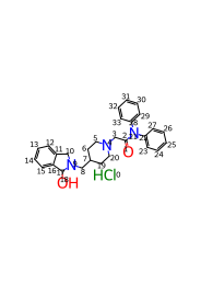 Cl.O=C(CN1CCC(CN2Cc3ccccc3C2O)CC1)N(c1ccccc1)c1ccccc1